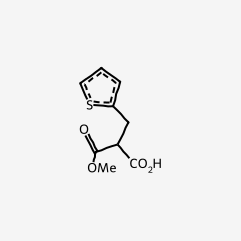 COC(=O)C(Cc1cccs1)C(=O)O